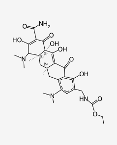 CCOC(=O)NCc1cc(N(C)C)c2c(c1O)C(=O)C1=C(O)[C@]3(O)C(=O)C(C(N)=O)=C(O)C(N(C)C)[C@]3(C)C[C@]1(C)C2